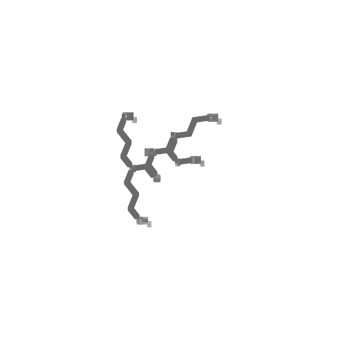 CCCCN(CCCC)C(=O)NC(=NCCC)SC